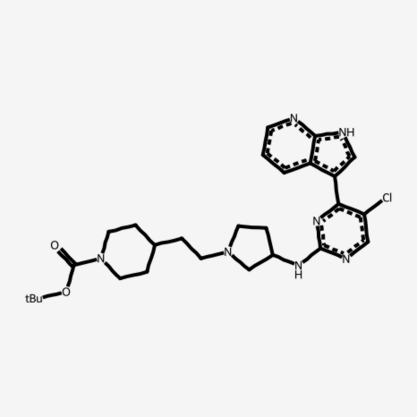 CC(C)(C)OC(=O)N1CCC(CCN2CCC(Nc3ncc(Cl)c(-c4c[nH]c5ncccc45)n3)C2)CC1